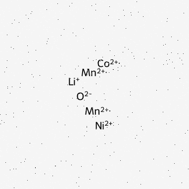 [Co+2].[Li+].[Mn+2].[Mn+2].[Ni+2].[O-2]